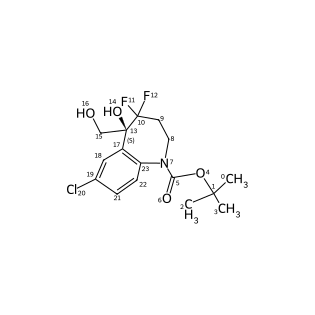 CC(C)(C)OC(=O)N1CCC(F)(F)[C@@](O)(CO)c2cc(Cl)ccc21